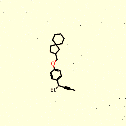 CC#C[C@@H](CC)c1ccc(OCC2CCC3(CCCCC3)C2)cc1